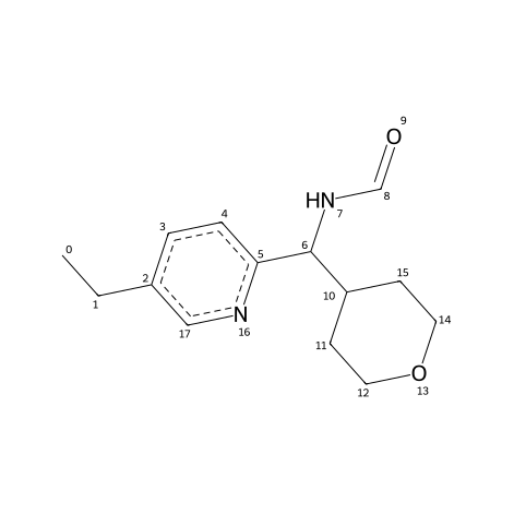 CCc1ccc(C(NC=O)C2CCOCC2)nc1